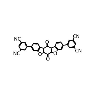 N#Cc1cc(C#N)cc(-c2ccc3c4c(oc3c2)C(=O)c2oc3cc(-c5cc(C#N)cc(C#N)c5)ccc3c2C4=O)c1